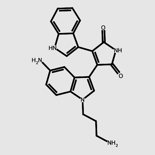 NCCCn1cc(C2=C(c3c[nH]c4ccccc34)C(=O)NC2=O)c2cc(N)ccc21